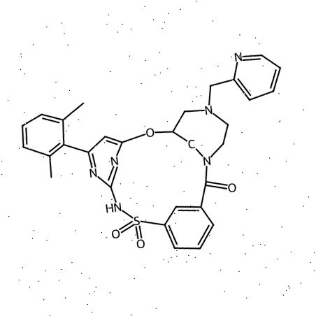 Cc1cccc(C)c1-c1cc2nc(n1)NS(=O)(=O)c1cccc(c1)C(=O)N1CCN(Cc3ccccn3)CC(C1)O2